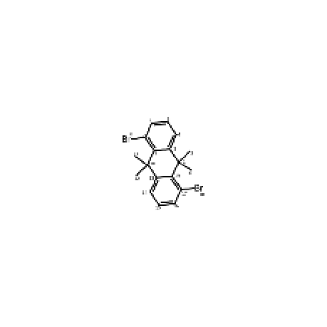 CC1(C)c2cccc(Br)c2C(C)(C)c2cccc(Br)c21